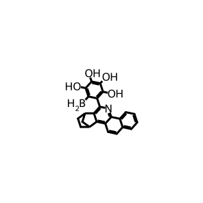 Bc1c(O)c(O)c(O)c(O)c1-c1nc2c(ccc3ccccc32)c2c1C1CCC2C1